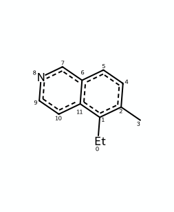 CCc1c(C)ccc2cnccc12